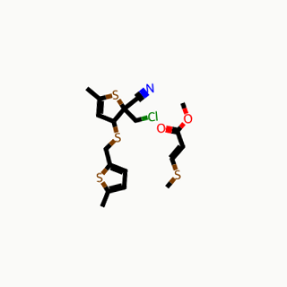 CC1=CC(SCc2ccc(C)s2)C(C#N)(CCl)S1.COC(=O)C=CSC